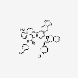 Cl.O=C(c1cc(-c2cc3c(cc2C(=O)N2Cc4ccccc4C[C@H]2CN2CCOCC2)OCO3)n2c1CC(O)CC2)N(c1ccccc1)c1ccc(O)cc1